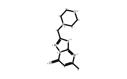 Cc1cc(=O)n2nc(CN3CCOCC3)sc2n1